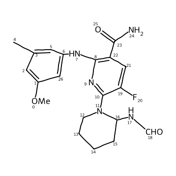 COc1cc(C)cc(Nc2nc(N3CCCCC3NC=O)c(F)cc2C(N)=O)c1